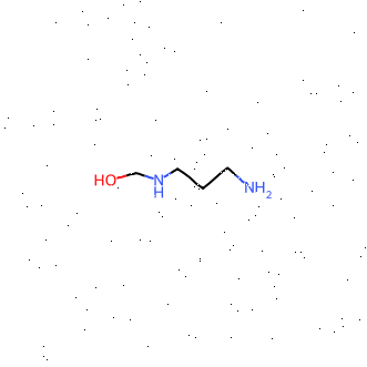 NCCCNCO